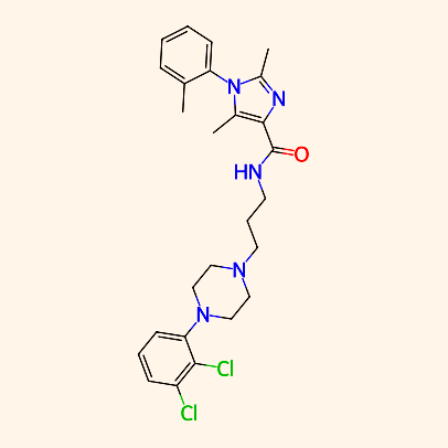 Cc1ccccc1-n1c(C)nc(C(=O)NCCCN2CCN(c3cccc(Cl)c3Cl)CC2)c1C